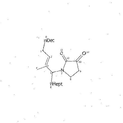 CCCCCCCCCCCC=C(C)C(CCCCCCC)N1CCC(=O)C1=O